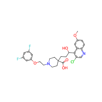 COc1ccc2ncc(Cl)c(C(O)CCC3(C(=O)O)CCN(CCOc4cc(F)cc(F)c4)CC3)c2c1